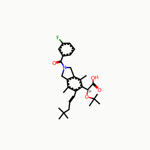 Cc1c(C=CCC(C)(C)C)c([C@H](OC(C)(C)C)C(=O)O)c(C)c2c1CN(C(=O)c1cccc(F)c1)C2